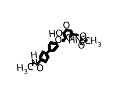 CNC(=O)c1ccc(-c2ccc(OCc3oc(CNS(C)(=O)=O)cc(=O)c3O)cc2)cc1